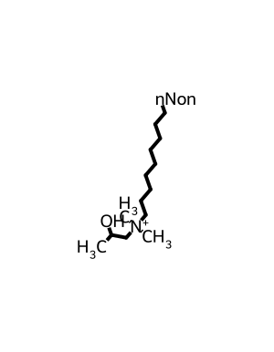 CCCCCCCCCCCCCCCCCC[N+](C)(C)CC(C)O